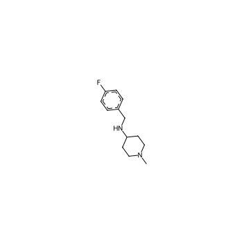 CN1CCC(NCc2ccc(F)cc2)CC1